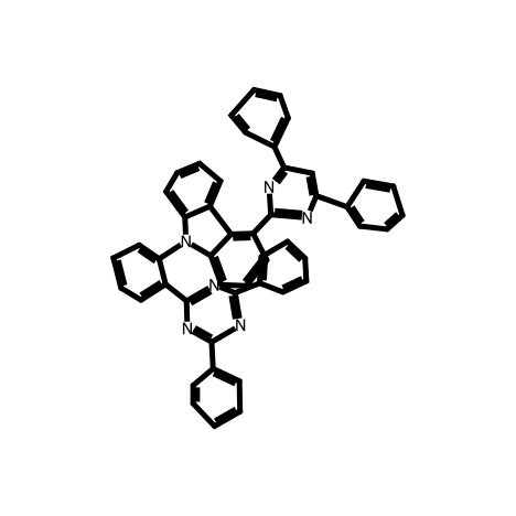 c1ccc(-c2cc(-c3ccccc3)nc(-c3cccc4c3c3ccccc3n4-c3ccccc3-c3nc(-c4ccccc4)nc(-c4ccccc4)n3)n2)cc1